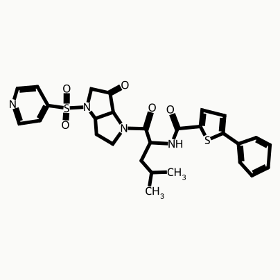 CC(C)CC(NC(=O)c1ccc(-c2ccccc2)s1)C(=O)N1CCC2C1C(=O)CN2S(=O)(=O)c1ccncc1